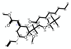 C=CC[C@@H]1C/C(=C\C(=O)OC)[C@H](OC(=O)CCCCCCC)[C@](OC)(C(C)(C)CO[Si](C)(C)C(C)(C)C)O1